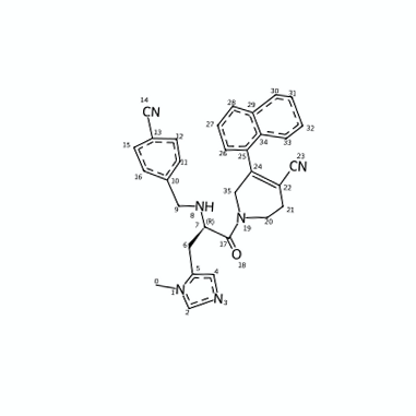 Cn1cncc1C[C@@H](NCc1ccc(C#N)cc1)C(=O)N1CCC(C#N)=C(c2cccc3ccccc23)C1